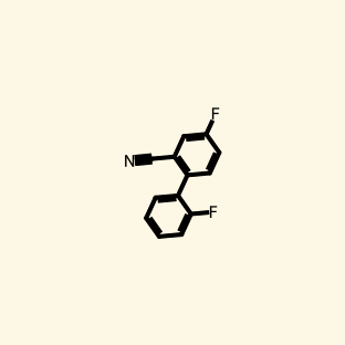 N#Cc1cc(F)ccc1-c1ccccc1F